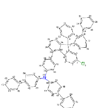 Clc1ccc2c(c1)C(c1ccccc1)(c1cccc(-c3ccccc3)c1)c1cccc(-c3ccc(N(c4ccc(-c5ccccc5)cc4)c4ccc(-c5ccccc5)cc4)cc3)c1-2